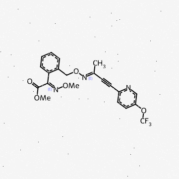 CO/N=C(/C(=O)OC)c1ccccc1CO/N=C(\C)C#Cc1ccc(OC(F)(F)F)cn1